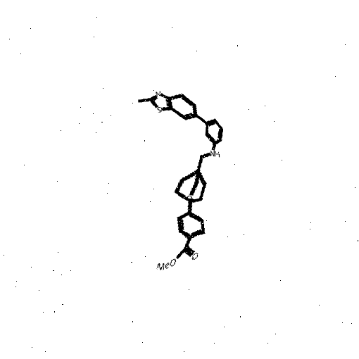 COC(=O)c1ccc(C23CCC(CNc4cccc(-c5ccc6nc(C)sc6c5)c4)(CC2)CO3)cc1